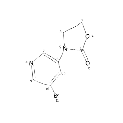 O=C1OCCN1c1cncc(Br)c1